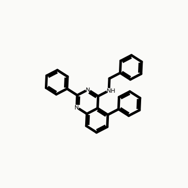 c1ccc(CNc2nc(-c3ccccc3)nc3cccc(-c4ccccc4)c23)cc1